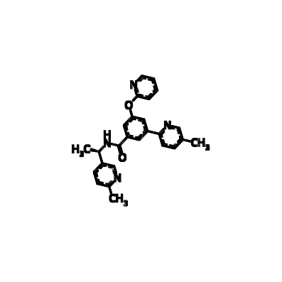 Cc1ccc(-c2cc(Oc3ccccn3)cc(C(=O)N[C@H](C)c3ccc(C)nc3)c2)nc1